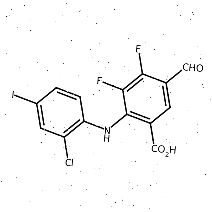 O=Cc1cc(C(=O)O)c(Nc2ccc(I)cc2Cl)c(F)c1F